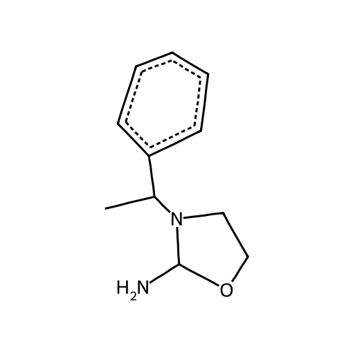 CC(c1ccccc1)N1CCOC1N